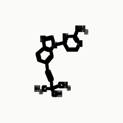 CC(C)(O)C#Cc1ccc2ncn(-c3ccnc(N)n3)c2c1